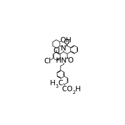 C[C@H](/C=C\c1cccc(CCNC(=O)C2c3ccccc3C(=O)N(C3CCCCC3O)C2c2ccc(Cl)cc2Cl)c1)C(=O)O